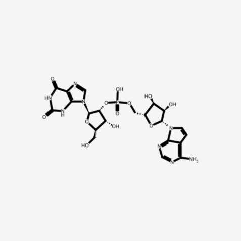 Nc1ncnc2c1ccn2[C@@H]1O[C@H](COP(=O)(O)O[C@@H]2[C@H](O)[C@@H](CO)O[C@H]2n2cnc3c(=O)[nH]c(=O)[nH]c32)[C@@H](O)[C@H]1O